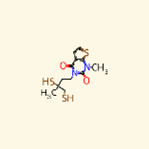 Cn1c(=O)n(CC[C@@](C)(S)CS)c(=O)c2ccsc21